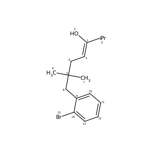 CC(C)/C(O)=C/CC(C)(C)Cc1ccccc1Br